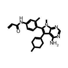 C=CC(=O)Nc1ccc(-c2c(C3=CCC(C)CC3)c3c(N)ncnc3n2C)c(C)c1